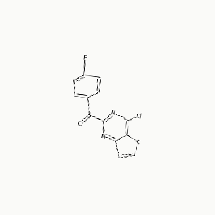 O=C(c1ccc(F)cc1)c1nc(Cl)c2sccc2n1